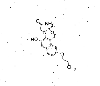 CCCOc1ccc2cc(O)c(N3CC(=O)NS3(=O)=O)c(F)c2c1